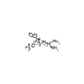 NCC[N+]1(CCN)CCC(C[C@H](N)C(=O)N[C@@H](Cc2ccc(C(F)(F)F)cc2)C(=O)Nc2cnc3ccccc3c2)CC1